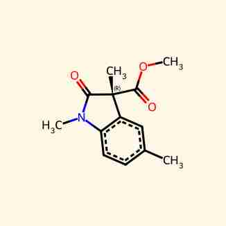 COC(=O)[C@@]1(C)C(=O)N(C)c2ccc(C)cc21